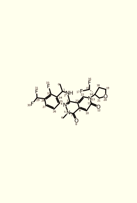 CC(Nc1nn(C)c(=O)c2cc(=O)n([C@@]3(C(F)F)CCOC3)cc12)c1cccc(C(F)F)c1F